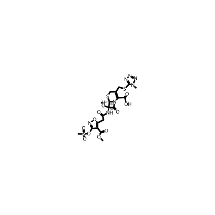 COC(=O)c1c(OS(C)(=O)=O)noc1CC(=O)N[C@]1(OC)C(=O)N2C(C(=O)O)=C(CSc3nnnn3C)CS[C@@H]21